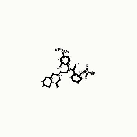 C=CCN(CCN(C(=O)c1ccccc1NS(=O)(=O)CCC)c1ccc(OC)cc1Cl)CC1CCCCC1.Cl